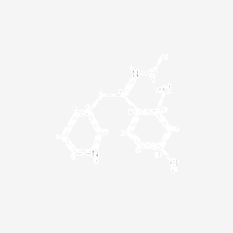 CO/N=C(/Cc1cccnc1)c1ccc(Cl)cc1Cl